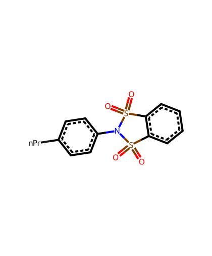 CCCc1ccc(N2S(=O)(=O)c3ccccc3S2(=O)=O)cc1